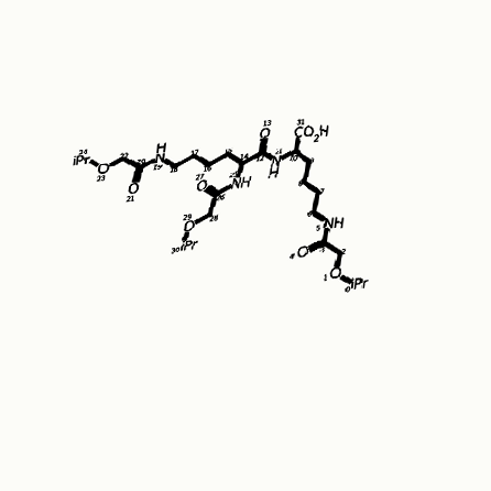 CC(C)OCC(=O)NCCCCC(NC(=O)C(CCCCNC(=O)COC(C)C)NC(=O)COC(C)C)C(=O)O